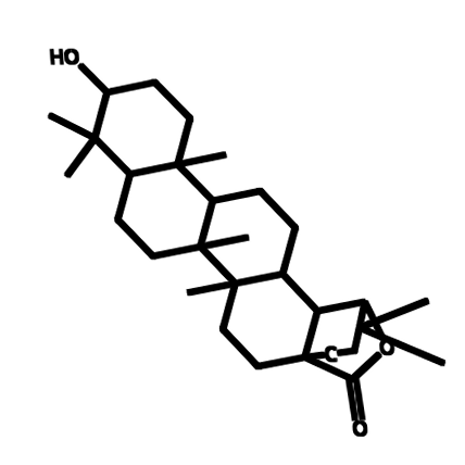 CC1(C)CCC23CCC4(C)C(CCC5C6(C)CCC(O)C(C)(C)C6CCC54C)C2C1OC3=O